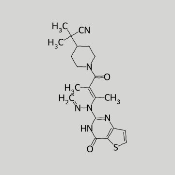 C=NN(/C(C)=C(\C)C(=O)N1CCC(C(C)(C)C#N)CC1)c1nc2ccsc2c(=O)[nH]1